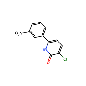 O=c1[nH]c(-c2cccc([N+](=O)[O-])c2)ccc1Cl